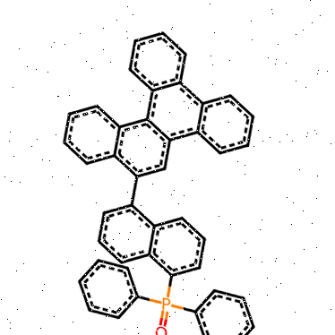 O=P(c1ccccc1)(c1ccccc1)c1cccc2c(-c3cc4c5ccccc5c5ccccc5c4c4ccccc34)cccc12